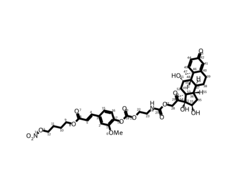 COc1cc(/C=C/C(=O)OCCCCO[N+](=O)[O-])ccc1OC(=O)OCCNC(=O)OCC(=O)[C@@]1(O)[C@H](O)C[C@H]2[C@@H]3CCC4=CC(=O)C=C[C@]4(C)[C@@]3(F)[C@@H](O)C[C@@]21C